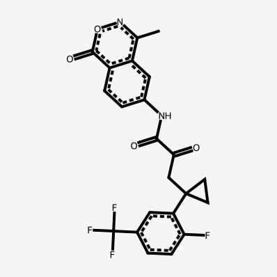 Cc1noc(=O)c2ccc(NC(=O)C(=O)CC3(c4cc(C(F)(F)F)ccc4F)CC3)cc12